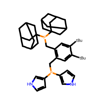 CC(C)(C)c1cc(CP(c2cc[nH]c2)c2cc[nH]c2)c(CP(C23CC4CC(CC(C4)C2)C3)C23CC4CC(CC(C4)C2)C3)cc1C(C)(C)C